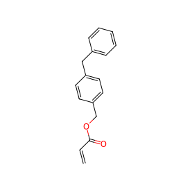 C=CC(=O)OCc1ccc(Cc2ccccc2)cc1